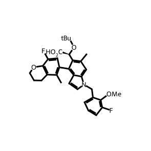 COc1c(F)cccc1Cn1ccc2c(-c3cc(F)c4c(c3C)CCCO4)c([C@H](OC(C)(C)C)C(=O)O)c(C)cc21